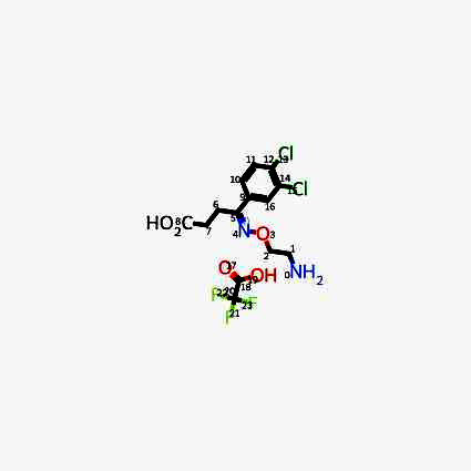 NCCO/N=C(/CCC(=O)O)c1ccc(Cl)c(Cl)c1.O=C(O)C(F)(F)F